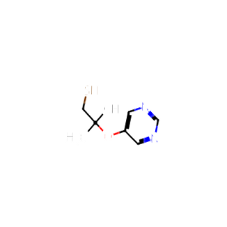 CC(C)(CS)Oc1cncnc1